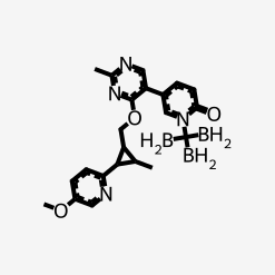 BC(B)(B)n1cc(-c2cnc(C)nc2OCC2C(C)C2c2ccc(OC)cn2)ccc1=O